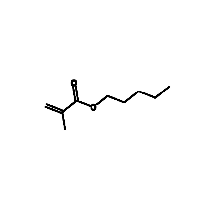 C=C(C)C(=O)OCCCCC